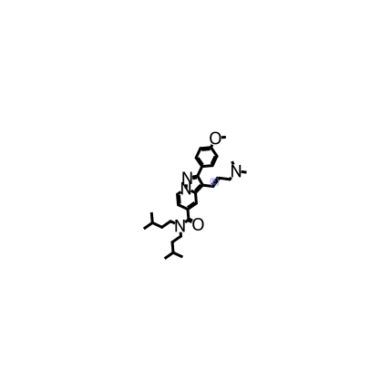 COc1ccc(-c2nn3ccc(C(=O)N(CCC(C)C)CCC(C)C)cc3c2/C=C/CN(C)C)cc1